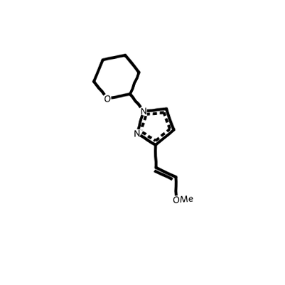 CO/C=C/c1ccn(C2CCCCO2)n1